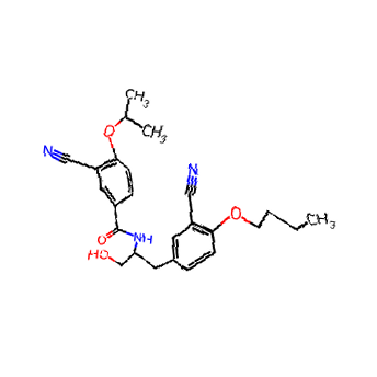 CCCCOc1ccc(CC(CO)NC(=O)c2ccc(OC(C)C)c(C#N)c2)cc1C#N